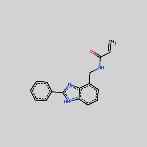 C=CC(=O)NCc1cccc2[nH]c(-c3ccccc3)nc12